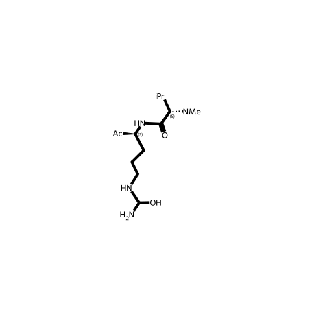 CN[C@H](C(=O)N[C@@H](CCCNC(N)O)C(C)=O)C(C)C